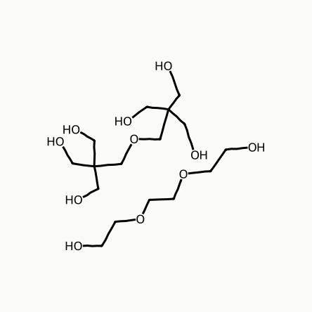 OCC(CO)(CO)COCC(CO)(CO)CO.OCCOCCOCCO